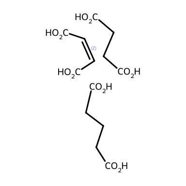 O=C(O)/C=C\C(=O)O.O=C(O)CCC(=O)O.O=C(O)CCCC(=O)O